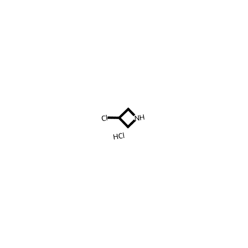 Cl.ClC1CNC1